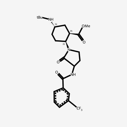 COC(=O)[C@@H]1C[C@@H](NC(C)(C)C)CC[C@@H]1N1CCC(NC(=O)c2cccc(C(F)(F)F)c2)C1=O